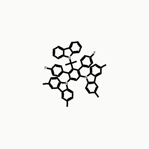 Cc1ccc2c(c1)c1cc(C)ccc1n2-c1cc(-n2c3ccc(C)cc3c3cc(C)ccc32)c(-c2ccc(F)cc2)c(C(C)(C)n2c3ccccc3c3ccccc32)c1-c1ccc(F)cc1